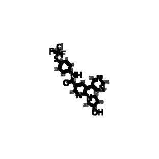 O=C(Nc1ccc(SC(F)(F)Cl)cc1)c1cnc(N2CC[C@@H](O)C2)c(-c2cncnc2)c1